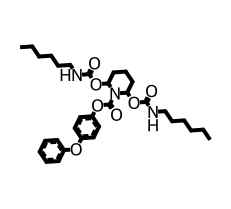 CCCCCCNC(=O)OC1CCCC(OC(=O)NCCCCCC)N1C(=O)Oc1ccc(Oc2ccccc2)cc1